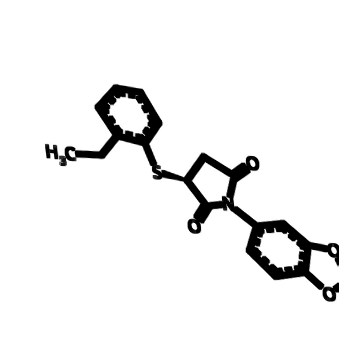 CCc1ccccc1S[C@H]1CC(=O)N(c2ccc3c(c2)OCO3)C1=O